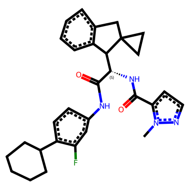 Cn1nccc1C(=O)N[C@H](C(=O)Nc1ccc(C2CCCCC2)c(F)c1)C1c2ccccc2CC12CC2